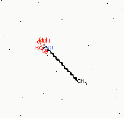 CCC=CCC=CCC=CCC=CCC=CCC=CCCC(=O)N[C@@H](COP(=O)(O)O)C(=O)O